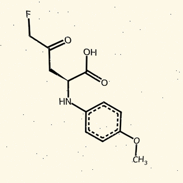 COc1ccc(N[C@@H](CC(=O)CF)C(=O)O)cc1